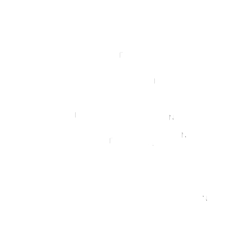 Fc1c(F)c(-c2nnc(-c3cccnc3)o2)c(F)c(F)c1-c1ccccc1